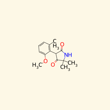 COc1cccc(C)c1C1C(=O)NC(C)(C)C1=O